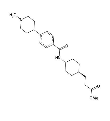 COC(=O)CC[C@H]1CC[C@H](NC(=O)c2ccc(C3CCN(C)CC3)cc2)CC1